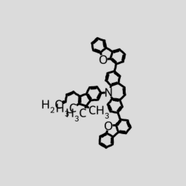 C=C/C=C\C1=C(C)C(C)(C)c2cc(N3c4ccc(-c5cccc6c5oc5ccccc56)cc4C=Cc4cc(-c5cccc6c5oc5ccccc56)ccc43)ccc21